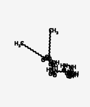 CCCCCCCCCCCCCCCCCC(=O)OCC(COP(=O)(O)OCCNc1c(NCCCc2cc3nc(c2)CN(C(C(=O)O)(C(=O)O)C(=O)O)CCNCCNC3)c(=O)c1=O)OC(=O)CCCCCCCCCCCCCCCCC